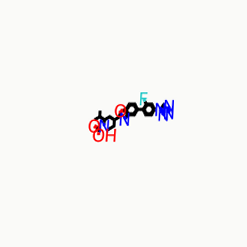 CC(C)C1CC(c2nc3cc(-c4ccc(-n5cnnn5)cc4F)ccc3o2)CCN1C(=O)O